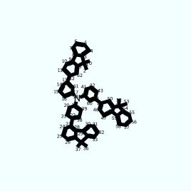 CC1(C)c2ccccc2-c2ccc(-c3cccc(N(c4ccc(-c5cccc6c5-c5ccccc5C6(C)C)cc4)c4cccc(-c5ccc6c(c5)C(C)(C)c5ccccc5-6)c4)c3)cc21